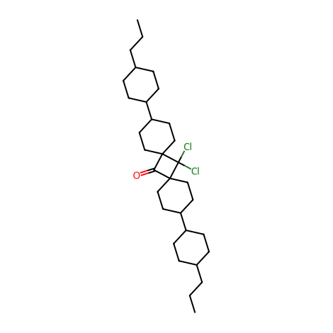 CCCC1CCC(C2CCC3(CC2)C(=O)C2(CCC(C4CCC(CCC)CC4)CC2)C3(Cl)Cl)CC1